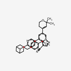 COc1ccc(CCN2C3CC2CN(c2ccc(-c4cc(C5=CC(C)(C)OCC5)cn5ncc(C#N)c45)cn2)C3)cn1